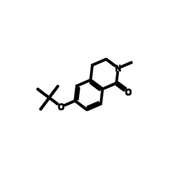 CN1CCc2cc(OC(C)(C)C)ccc2C1=O